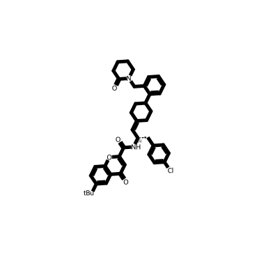 CC(C)(C)c1ccc2oc(C(=O)N[C@H](C=C3CCC(c4ccccc4CN4CCCCC4=O)CC3)Cc3ccc(Cl)cc3)cc(=O)c2c1